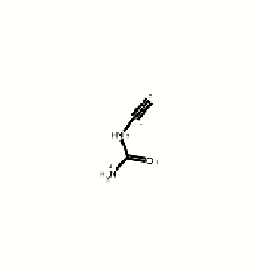 C#CNC(N)=O